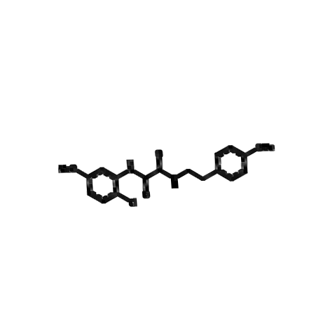 COc1ccc(CCNC(=O)C(=O)Nc2cc(OC)ccc2Cl)cc1